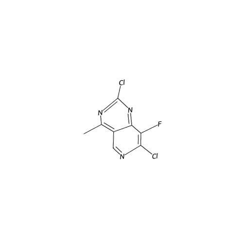 Cc1nc(Cl)nc2c(F)c(Cl)ncc12